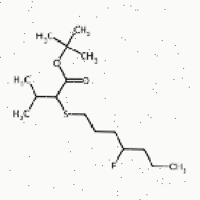 CCCC(F)CCCSC(C(=O)OC(C)(C)C)C(C)C